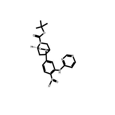 CC(C)(C)OC(=O)N1CC2CC[C@@H]1CN2c1ccc([N+](=O)[O-])c(Nc2ccncn2)c1